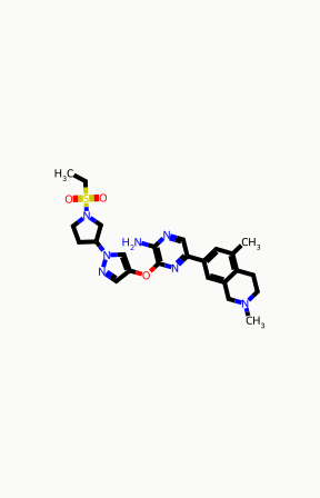 CCS(=O)(=O)N1CCC(n2cc(Oc3nc(-c4cc(C)c5c(c4)CN(C)CC5)cnc3N)cn2)C1